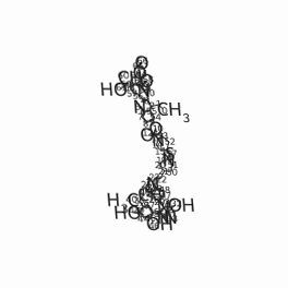 CCc1c2c(nc3ccc(OC(=O)N4CCC(SN5CCC(CCn6ccc7cc(-n8c(O)nnc8-c8cc(C(C)C)c(O)cc8O)ccc76)CC5)CC4)cc13)-c1cc(C(C)O)c(COC=O)c(=O)n1C2